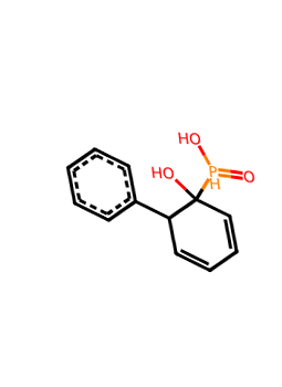 O=[PH](O)C1(O)C=CC=CC1c1ccccc1